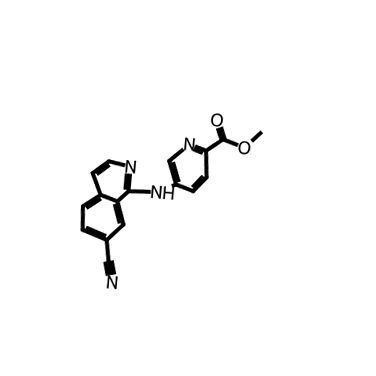 COC(=O)c1ccc(Nc2nccc3ccc(C#N)cc23)cn1